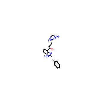 O=C(/C=C/c1ncc[nH]1)c1cccc2[nH]c(CCc3ccccc3)nc12